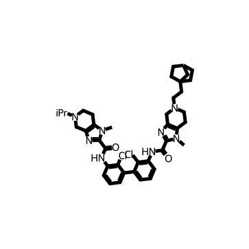 CC(C)N1CCc2c(nc(C(=O)Nc3cccc(-c4cccc(NC(=O)c5nc6c(n5C)CCN(CCC57CCC(CC5)C7)C6)c4Cl)c3Cl)n2C)C1